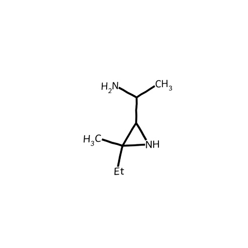 CCC1(C)NC1C(C)N